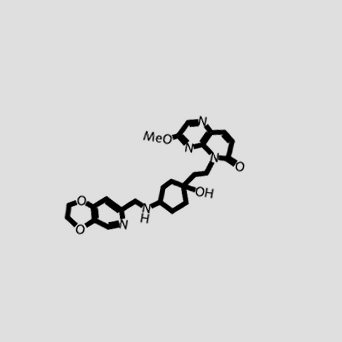 COc1cnc2ccc(=O)n(CCC3(O)CCC(NCc4cc5c(cn4)OCCO5)CC3)c2n1